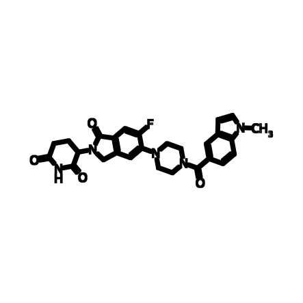 Cn1ccc2cc(C(=O)N3CCN(c4cc5c(cc4F)C(=O)N(C4CCC(=O)NC4=O)C5)CC3)ccc21